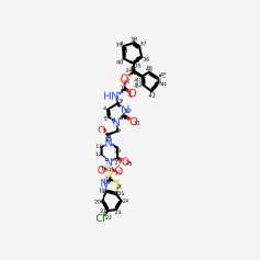 O=C(Nc1ccn(CC(=O)N2CCN(S(=O)(=O)c3nc4cc(Cl)ccc4s3)C(=O)C2)c(=O)n1)OC(c1ccccc1)c1ccccc1